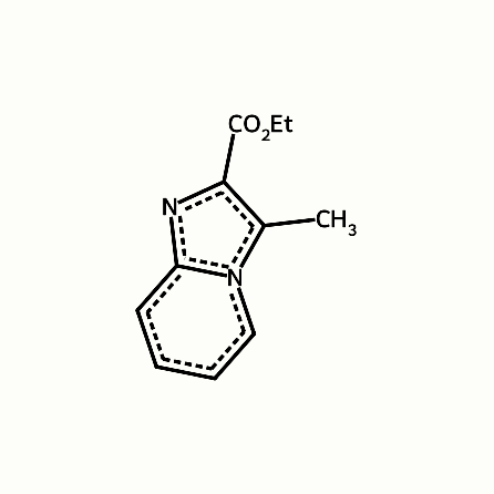 CCOC(=O)c1nc2ccccn2c1C